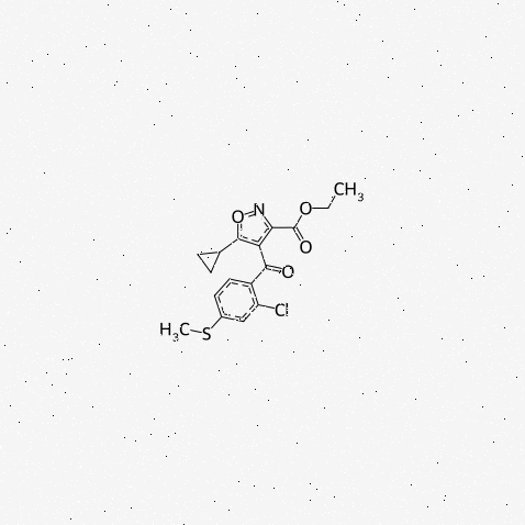 CCOC(=O)c1noc(C2CC2)c1C(=O)c1ccc(SC)cc1Cl